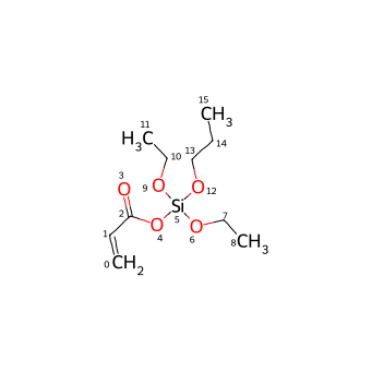 C=CC(=O)O[Si](OCC)(OCC)OCCC